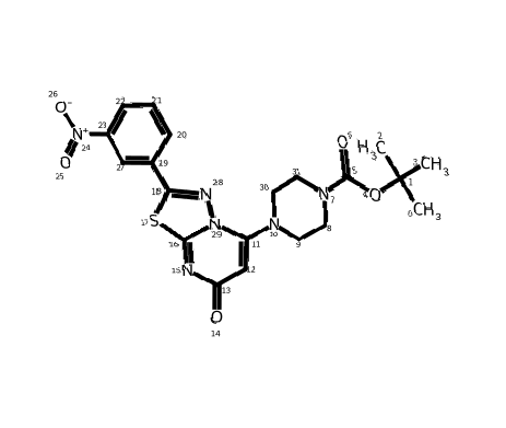 CC(C)(C)OC(=O)N1CCN(c2cc(=O)nc3sc(-c4cccc([N+](=O)[O-])c4)nn23)CC1